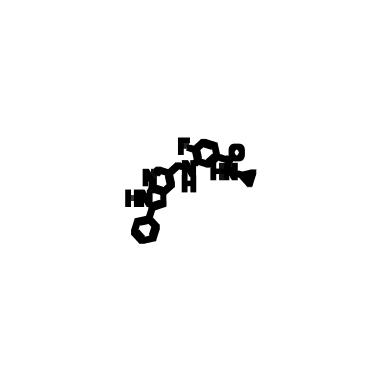 O=C(NC1CC1)c1ccc(F)c(NCc2cnc3[nH]c(-c4ccccc4)cc3c2)c1